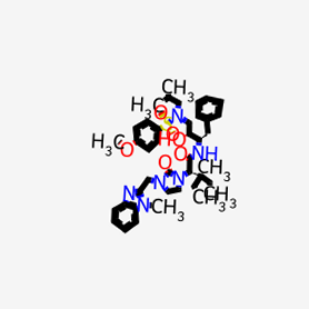 CCC(C)(CC)[C@@H](C(=O)N[C@@H](Cc1ccccc1)[C@H](O)CN(CC(C)C)S(=O)(=O)c1ccc(OC)cc1)N1CCN(Cc2nc3ccccc3n2C)C1=O